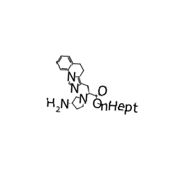 CCCCCCCOC(=O)[C@H](Cc1ncn2c1CCc1ccccc1-2)N1CC[C@H](N)C1